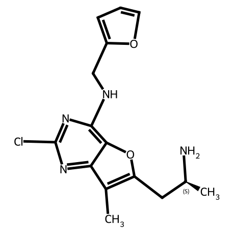 Cc1c(C[C@H](C)N)oc2c(NCc3ccco3)nc(Cl)nc12